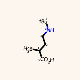 BC(CCNC(C)(C)C)C(=O)O